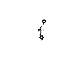 CC(C)(C)c1cc(C(=O)CN2CCC(CCOCc3ccccc3)C2=N)cc(C(C)(C)C)c1O